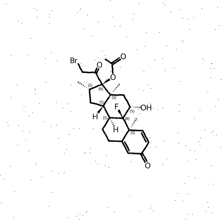 CC(=O)O[C@]1(C(=O)CBr)[C@@H](C)C[C@H]2[C@@H]3CCC4=CC(=O)C=C[C@]4(C)[C@@]3(F)[C@@H](O)C[C@@]21C